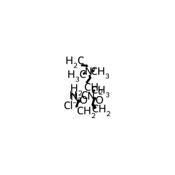 C=CC(=O)N(C)C.C=CC(N)=O.C=CC[N+](C)(C)CC=C.[Cl-]